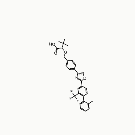 Cc1ccccc1-c1ccc(-c2nc(-c3ccc(COC(C(=O)O)C(C)(C)C)cc3)no2)cc1C(F)(F)F